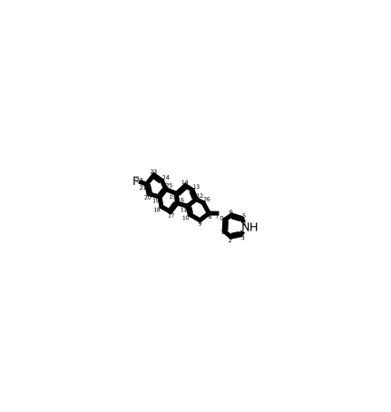 C1=CC=CNC=C1.CC1CC=c2c(ccc3c2=CCc2cc(F)ccc2-3)C1